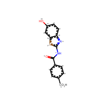 O=C(O)c1ccc(C(=O)Nc2nc3ccc(O)cc3s2)cc1